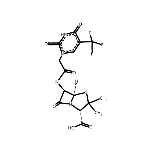 CC1(C)S[C@@H]2[C@H](NC(=O)Cn3cc(C(F)(F)F)c(=O)[nH]c3=O)C(=O)N2[C@H]1C(=O)O